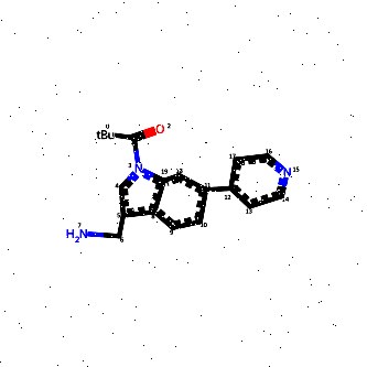 CC(C)(C)C(=O)n1cc(CN)c2ccc(-c3ccncc3)cc21